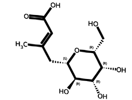 CC(=CC(=O)O)C[C@@H]1O[C@H](CO)[C@H](O)[C@H](O)[C@H]1O